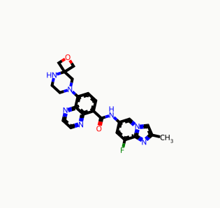 Cc1cn2cc(NC(=O)c3ccc(N4CCNC5(COC5)C4)c4nccnc34)cc(F)c2n1